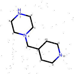 C1CC(CN2CCNCC2)CC[N]1